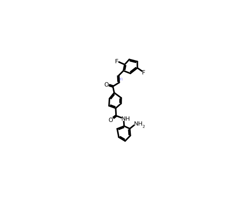 Nc1ccccc1NC(=O)c1ccc(C(=O)/C=C/c2cc(F)ccc2F)cc1